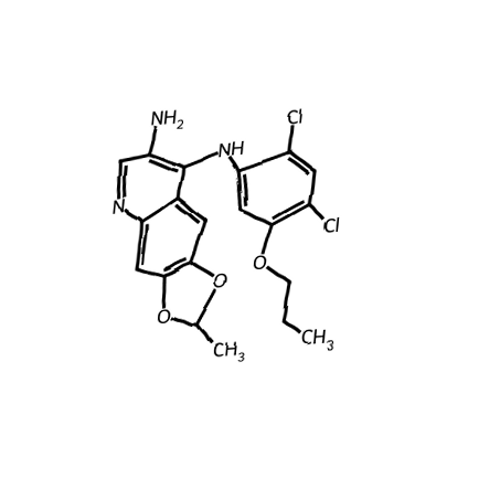 CCCOc1cc(Nc2c(N)cnc3cc4c(cc23)OC(C)O4)c(Cl)cc1Cl